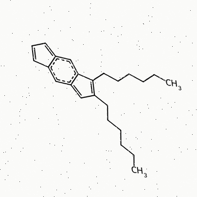 CCCCCCC1=C(CCCCCC)c2cc3c(cc2=C1)C=CC=3